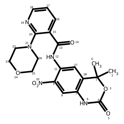 CC1(C)OC(=O)Nc2cc([N+](=O)[O-])c(NC(=O)c3cccnc3N3CCOCC3)cc21